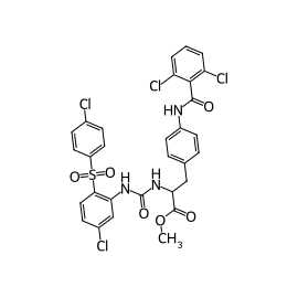 COC(=O)C(Cc1ccc(NC(=O)c2c(Cl)cccc2Cl)cc1)NC(=O)Nc1cc(Cl)ccc1S(=O)(=O)c1ccc(Cl)cc1